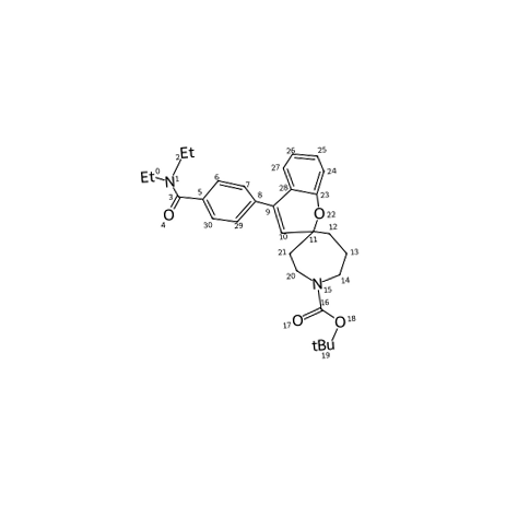 CCN(CC)C(=O)c1ccc(C2=CC3(CCCN(C(=O)OC(C)(C)C)CC3)Oc3ccccc32)cc1